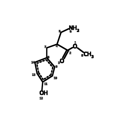 COC(=O)C(CN)Cc1ccc(O)cc1